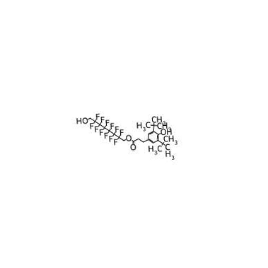 CC(C)(C)c1cc(CCC(=O)OCC(F)(F)C(F)(F)C(F)(F)C(F)(F)C(F)(F)C(F)(F)CO)cc(C(C)(C)C)c1O